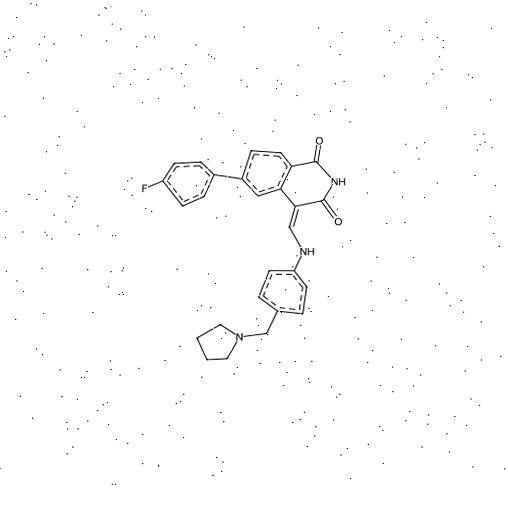 O=C1NC(=O)c2ccc(-c3ccc(F)cc3)cc2C1=CNc1ccc(CN2CCCC2)cc1